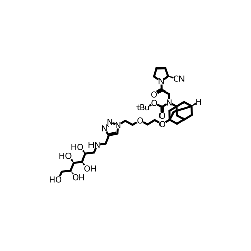 CC(C)(C)OC(=O)N(CC(=O)N1CCC[C@H]1C#N)C12CC3C[C@H](CC(OCCOCCn4cc(CNC[C@H](O)[C@@H](O)[C@H](O)[C@H](O)CO)nn4)(C3)C1)C2